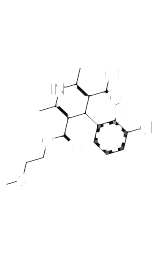 CSCCOC(=O)C1=C(C)NC(C)=C(C(=O)O)C1c1cccc(Cl)c1Cl